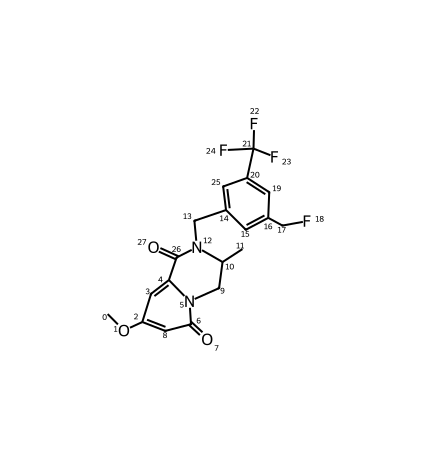 COc1cc2n(c(=O)c1)CC(C)N(Cc1cc(CF)cc(C(F)(F)F)c1)C2=O